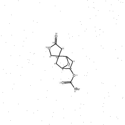 CC(C)(C)C(=O)OC1CC2OC1CC21COC(=O)C1